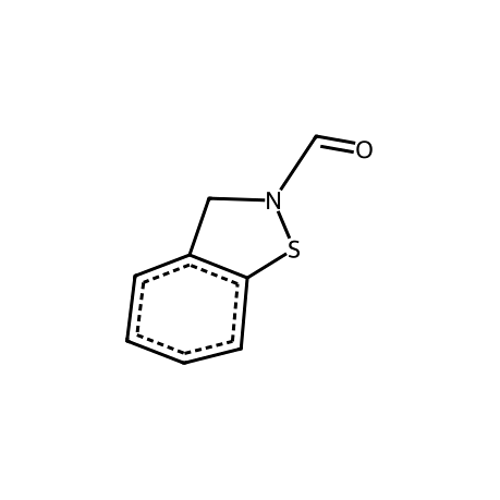 O=CN1Cc2ccccc2S1